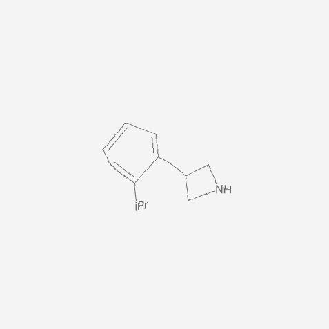 CC(C)c1ccccc1C1CNC1